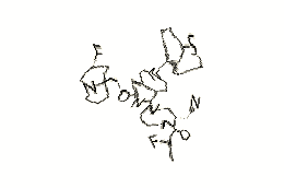 C=C(F)C(=O)N1CCN(c2nc(OCC34CCCN3C[C@H](F)C4)cc3c2CCN(c2cccc4c2CCCS4)C3)C[C@@H]1CC#N